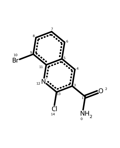 NC(=O)c1cc2cccc(Br)c2nc1Cl